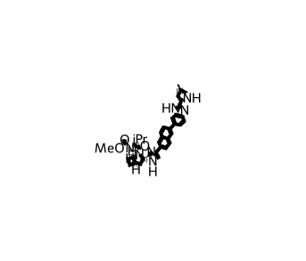 COC(=O)N[C@H](C(=O)N1[C@@H]2CC[C@@H]2C[C@H]1c1nc(-c2ccc3cc(-c4ccc5nc(C6C[C@@H](C)CN6)[nH]c5c4)ccc3c2)c[nH]1)C(C)C